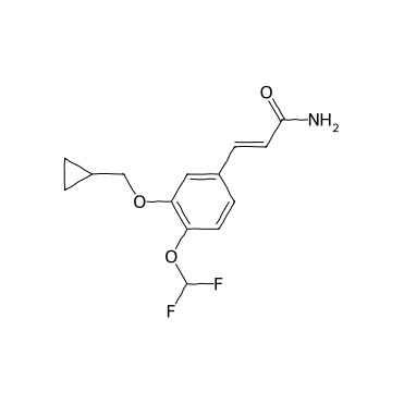 NC(=O)C=Cc1ccc(OC(F)F)c(OCC2CC2)c1